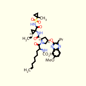 C=CCCCCCC(NC(=O)O)C(=O)N1C[C@H](Oc2nc3cc(OC)ccc3nc2C(C)C)C[C@H]1C(=O)N[C@]1(C(=O)NS(=O)(=O)C2(C)CC2)C[C@H]1C=C